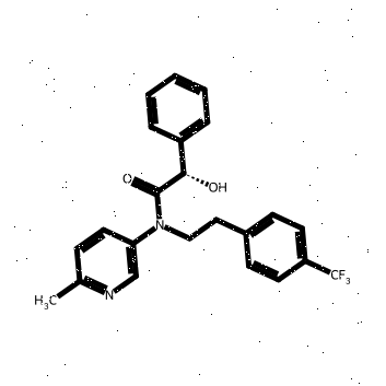 Cc1ccc(N(CCc2ccc(C(F)(F)F)cc2)C(=O)[C@@H](O)c2ccccc2)cn1